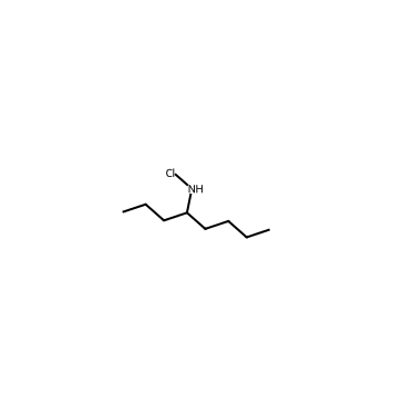 CCCCC(CCC)NCl